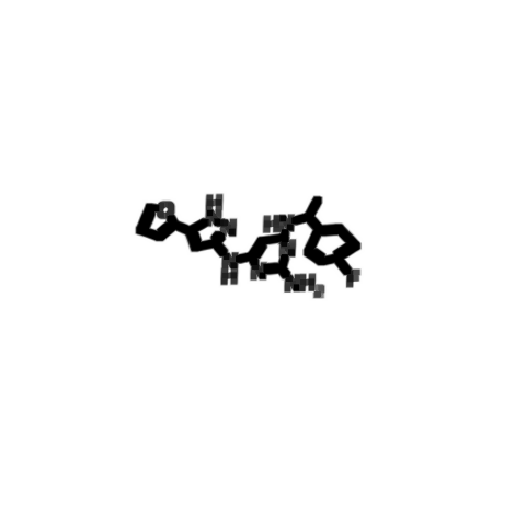 CC(Nc1cc(Nc2cc(-c3ccco3)[nH]n2)nc(N)n1)c1ccc(F)cc1